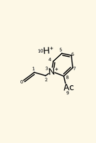 C=CC[n+]1ccccc1C(C)=O.[H+]